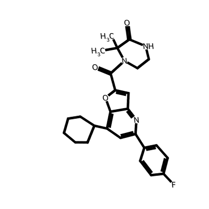 CC1(C)C(=O)NCCN1C(=O)c1cc2nc(-c3ccc(F)cc3)cc(C3CCCCC3)c2o1